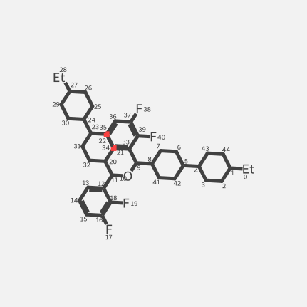 CCC1CCC(C2CCC(C(OC(c3cccc(F)c3F)C3CCC(C4CCC(CC)CC4)CC3)c3cccc(F)c3F)CC2)CC1